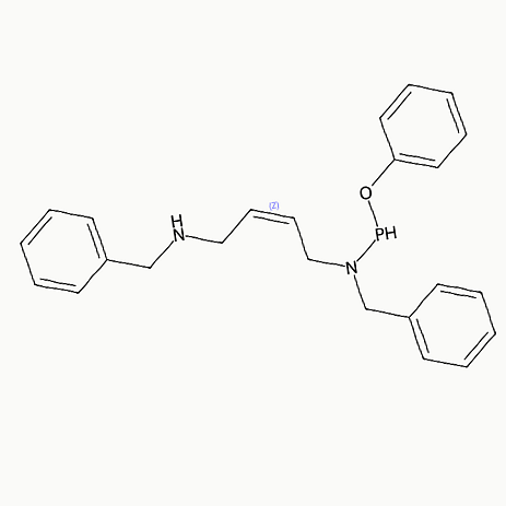 C(=C/CN(Cc1ccccc1)POc1ccccc1)/CNCc1ccccc1